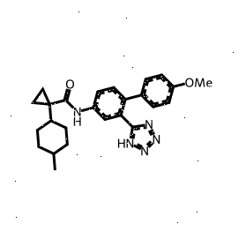 COc1ccc(-c2ccc(NC(=O)C3(C4CCC(C)CC4)CC3)cc2-c2nnn[nH]2)cc1